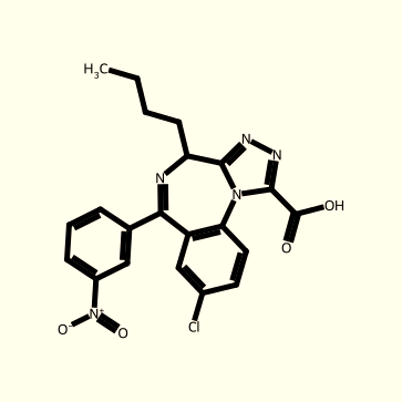 CCCCC1N=C(c2cccc([N+](=O)[O-])c2)c2cc(Cl)ccc2-n2c(C(=O)O)nnc21